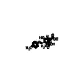 Cc1ccc(SC[C@@H]2[C@@H](O)[C@H]3[C@H](C(=O)O)[C@H]3[C@]2(N)C(=O)O)cc1